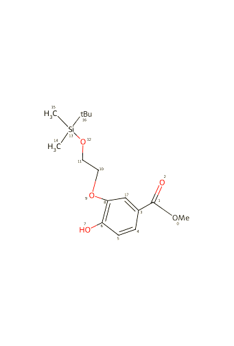 COC(=O)c1ccc(O)c(OCCO[Si](C)(C)C(C)(C)C)c1